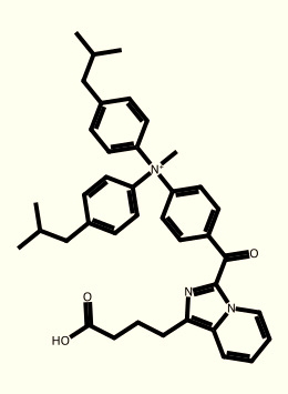 CC(C)Cc1ccc([N+](C)(c2ccc(CC(C)C)cc2)c2ccc(C(=O)c3nc(CCCC(=O)O)c4ccccn34)cc2)cc1